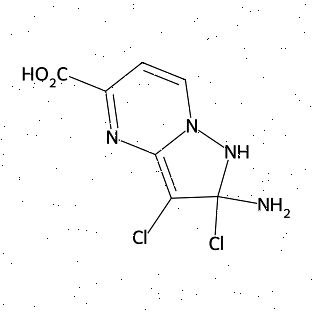 NC1(Cl)NN2C=CC(C(=O)O)=NC2=C1Cl